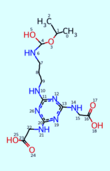 CC(C)OC(O)NCCCNc1nc(NCC(=O)O)nc(NCC(=O)O)n1